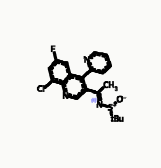 C/C(=N\[S+]([O-])C(C)(C)C)c1cnc2c(Cl)cc(F)cc2c1-c1ccccn1